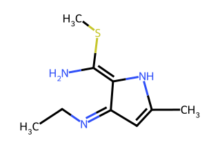 CC/N=C1/C=C(C)N/C1=C(/N)SC